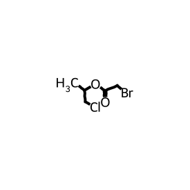 CC(CCl)OC(=O)CBr